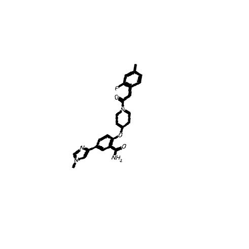 Cc1ccc(CC(=O)N2CCC(Oc3ccc(-c4cn(C)cn4)cc3C(N)=O)CC2)c(F)c1